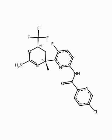 C[C@]1(c2nc(NC(=O)c3ccc(Cl)cn3)ccc2F)C[C@@H](C(F)(F)F)OC(N)=N1